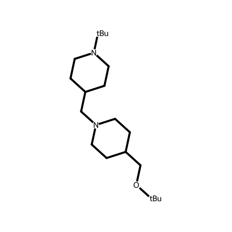 CC(C)(C)OCC1CCN(CC2CCN(C(C)(C)C)CC2)CC1